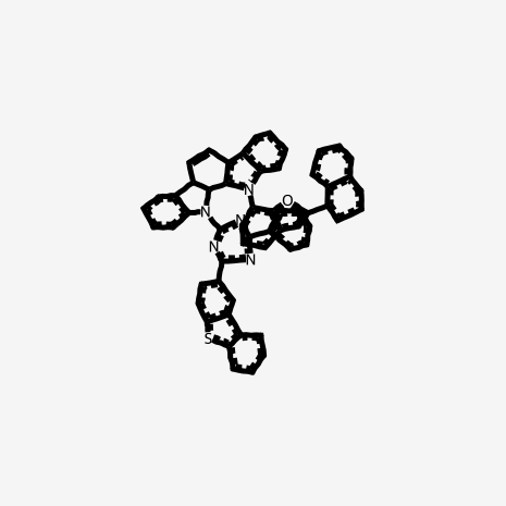 C1=CC2c3ccccc3N(c3nc(-c4ccccc4)nc(-c4ccc5sc6ccccc6c5c4)n3)C2c2c1c1ccccc1n2-c1cccc2cc(-c3cccc4ccccc34)oc12